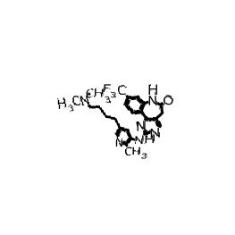 Cc1ncc(CCCCN(C)C)cc1Nc1ncc2c(n1)-c1ccc(C(F)(F)F)cc1NC(=O)C2